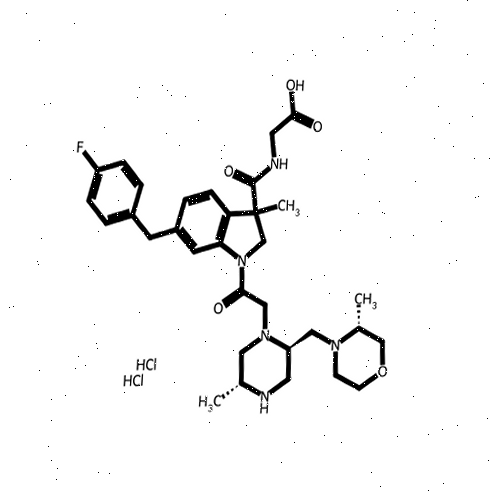 C[C@@H]1CN(CC(=O)N2CC(C)(C(=O)NCC(=O)O)c3ccc(Cc4ccc(F)cc4)cc32)[C@@H](CN2CCOC[C@H]2C)CN1.Cl.Cl